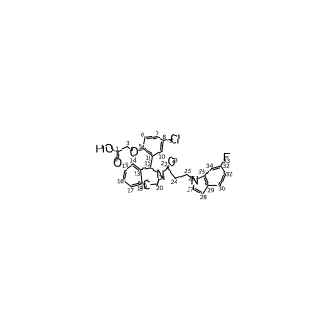 O=C(O)COc1ccc(Cl)cc1C1c2ccccc2CCN1C(=O)CCn1ccc2ccc(F)cc21